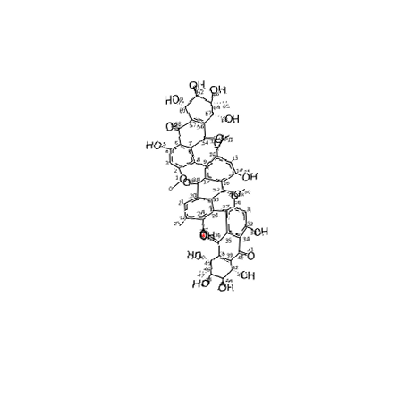 COc1cc(O)c2c(c1-c1c(OC)cc(O)c3c1C(=O)c1cc(C)c(O)c(-c4c(OC)cc(O)c5c4C(=O)C4=C(C5=O)[C@H](O)[C@@H](O)[C@@](C)(O)[C@@H]4O)c1C3=O)C(=O)C1=C(C2=O)[C@H](O)[C@@H](O)[C@@](C)(O)[C@@H]1O